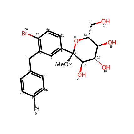 CCc1ccc(Cc2cc([C@]3(OC)O[C@H](CO)[C@@H](O)[C@H](O)[C@H]3O)ccc2Br)cc1